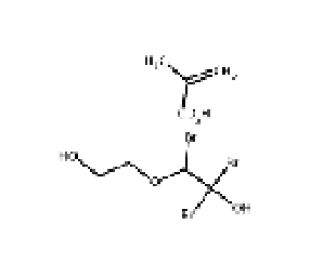 C=C(C)C(=O)O.OCCOC(Br)C(O)(Br)Br